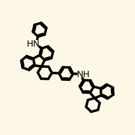 c1ccc(Nc2cccc3c2-c2ccccc2C32CCCC(c3ccc(Nc4ccc5c(c4)-c4ccccc4C54CCCCC4)cc3)C2)cc1